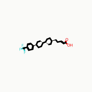 O=C(O)/C=C/CC[C@H]1CC[C@H]([C@H]2CC[C@H](c3ccc(C(F)(F)F)cc3)CC2)CC1